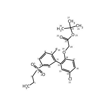 CCCS(=O)(=O)c1ccc(F)c(-c2cc(Cl)ccc2OCC(=O)OC(C)(C)C)c1